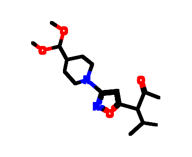 COC(OC)C1CCN(c2cc(C(C(C)=O)C(C)C)on2)CC1